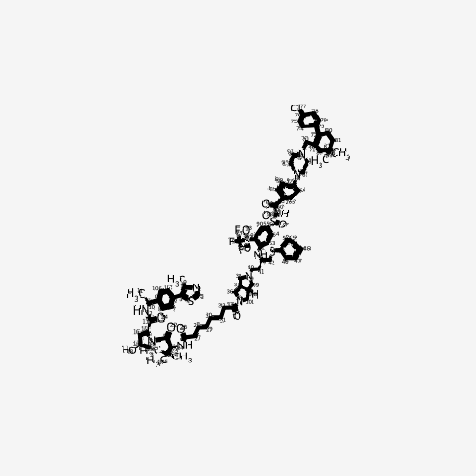 Cc1ncsc1-c1ccc([C@H](C)NC(=O)[C@@H]2C[C@@H](O)CN2C(=O)[C@@H](NC(=O)CCCCCCC(=O)N2CC3CN(CC[C@H](CSc4ccccc4)Nc4ccc(S(=O)(=O)NC(=O)c5ccc(N6CCN(CC7=C(c8ccc(Cl)cc8)CCC(C)(C)C7)CC6)cc5)cc4S(=O)(=O)C(F)(F)F)C[C@@H]3C2)C(C)(C)C)cc1